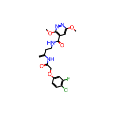 C=C(CCNC(=O)c1cc(OC)nnc1OC)NC(=O)COc1ccc(Cl)c(F)c1